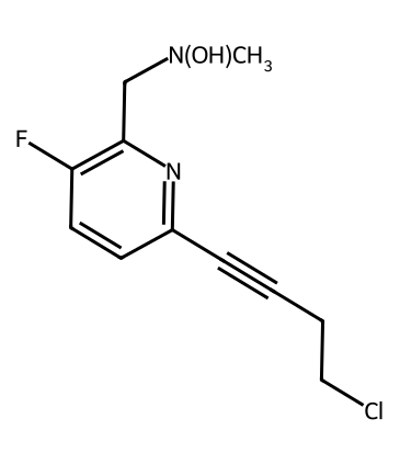 CN(O)Cc1nc(C#CCCCl)ccc1F